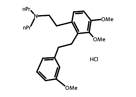 CCCN(CCC)CCc1ccc(OC)c(OC)c1CCc1cccc(OC)c1.Cl